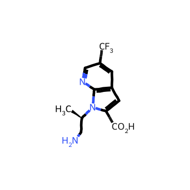 C[C@H](CN)n1c(C(=O)O)cc2cc(C(F)(F)F)cnc21